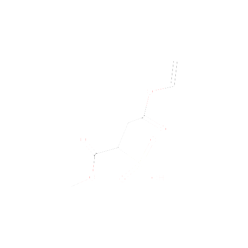 C=COC(=O)CC(C(=O)OC)S(=O)(=O)O